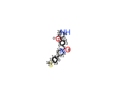 COC1(c2ccc(C(=O)N3CCC(c4ccc(SC)cc4)CC3)cc2)CCNCC1